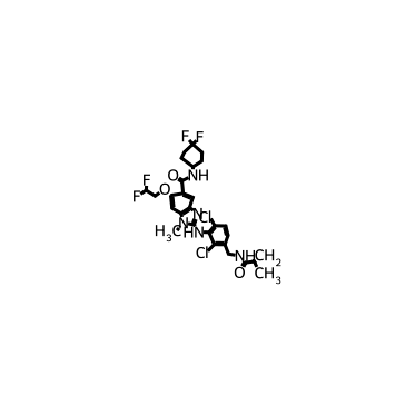 C=C(C)C(=O)NCc1ccc(Cl)c(Nc2nc3cc(C(=O)NC4CCC(F)(F)CC4)c(OCC(F)F)cc3n2C)c1Cl